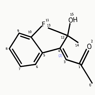 CC(=O)/C=C(/c1ccccc1F)C(C)(C)O